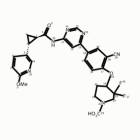 COc1ccc([C@@H]2C[C@H]2C(=O)Nc2cc(-c3ccc(OC4CCN(C(=O)O)CC4(F)F)c(C#N)c3)ncn2)cn1